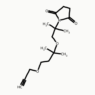 C#CCOCCC(C)(C)OCC(C)(C)N1C(=O)CCC1=O